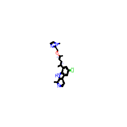 C/C(=C\C=C(/C)c1cc(Cl)cc2c1[nH]c1c(C)nccc12)OCc1nccn1C